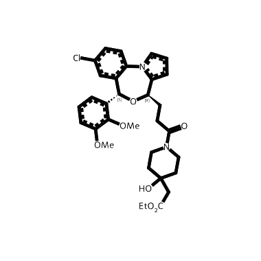 CCOC(=O)CC1(O)CCN(C(=O)CC[C@H]2O[C@H](c3cccc(OC)c3OC)c3cc(Cl)ccc3-n3cccc32)CC1